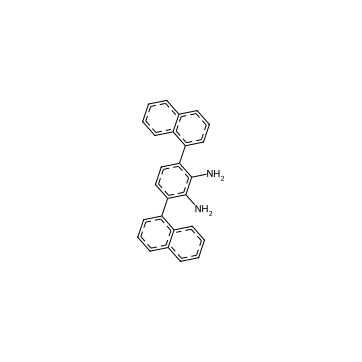 Nc1c(-c2cccc3ccccc23)ccc(-c2cccc3ccccc23)c1N